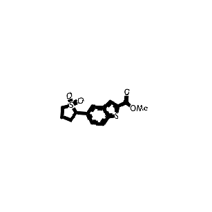 COC(=O)c1cc2cc(C3CCCS3(=O)=O)ccc2s1